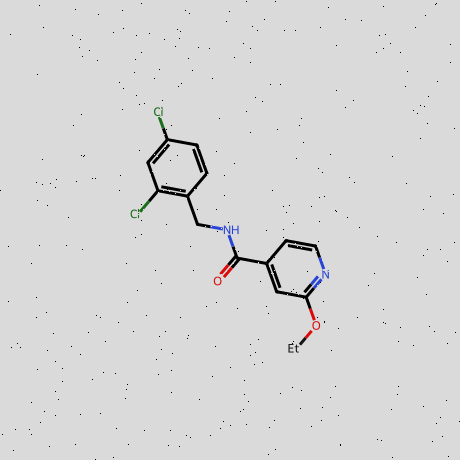 CCOc1cc(C(=O)NCc2ccc(Cl)cc2Cl)ccn1